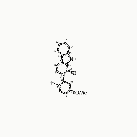 COc1ccc(F)c(-n2ccn3c(nc4ccccc43)c2=O)c1